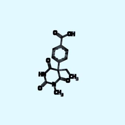 CCC1(c2ccc(C(=O)O)cc2)C(=O)NC(=O)N(C)C1=O